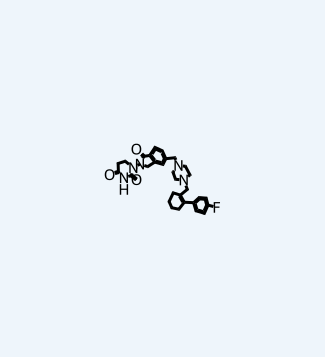 O=C1CCN(N2Cc3cc(CN4CCN(CC5=C(c6ccc(F)cc6)CCCC5)CC4)ccc3C2=O)C(=O)N1